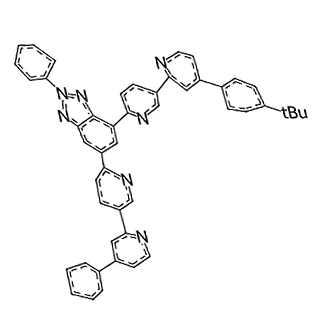 CC(C)(C)c1ccc(-c2ccnc(-c3ccc(-c4cc(-c5ccc(-c6cc(-c7ccccc7)ccn6)cn5)cc5nn(-c6ccccc6)nc45)nc3)c2)cc1